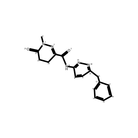 CN1N=C(C(=O)Nc2ccc(Cc3ccccc3)nn2)CCC1=O